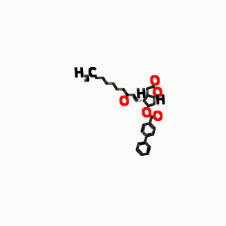 CCCCCCCC(=O)C=C[C@@H]1[C@H]2CC(=O)O[C@H]2C[C@H]1OC(=O)c1ccc(-c2ccccc2)cc1